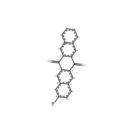 O=C1c2cc3ccccc3cc2C(=O)c2cc3cc(Br)ccc3cc21